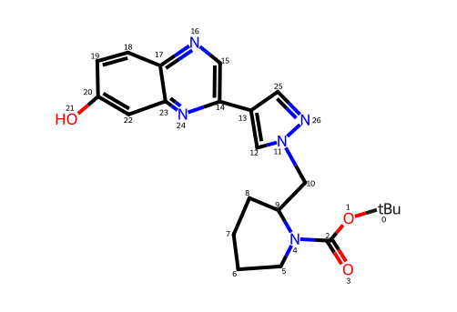 CC(C)(C)OC(=O)N1CCCCC1Cn1cc(-c2cnc3ccc(O)cc3n2)cn1